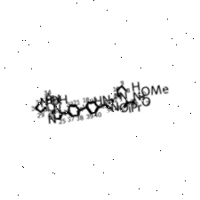 COC(=O)N[C@H](C(=O)N1CCC[C@H]1c1ncc(-c2ccc(-c3ccc(-c4cnc([C@@H]5CCCN5B(C)O)[nH]4)cc3)cc2)[nH]1)C(C)C